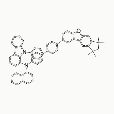 CC1(C)CC(C)(C)c2cc3c(cc21)oc1ccc(-c2ccc(-c4ccc(N(c5cccc6ccccc56)c5cccc6c7ccccc7n(-c7ccccc7)c56)cc4)cc2)cc13